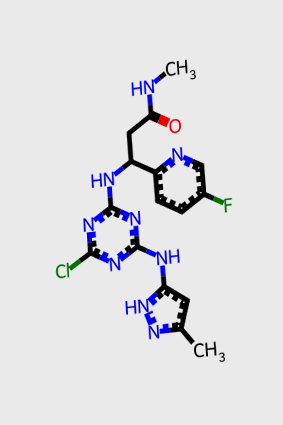 CNC(=O)CC(Nc1nc(Cl)nc(Nc2cc(C)n[nH]2)n1)c1ccc(F)cn1